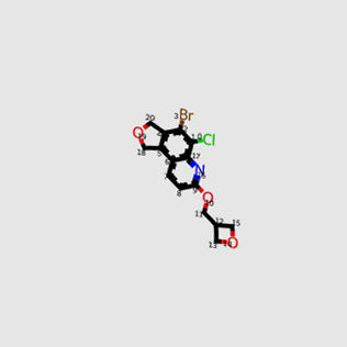 Clc1c(Br)c2c(c3ccc(OCC4COC4)nc13)COC2